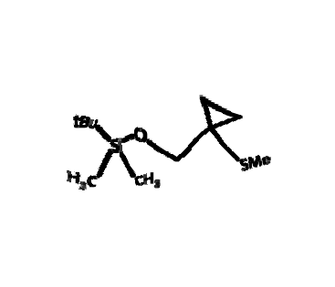 CSC1(CO[Si](C)(C)C(C)(C)C)CC1